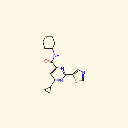 O=C(NC1CCSCC1)c1cc(C2CC2)nc(-c2cncs2)n1